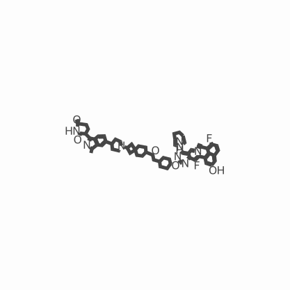 C#Cc1c(F)ccc2cc(O)cc(-c3ncc4c(N5CC6CCC(C5)N6)nc(OC5CCC(CC(=O)C6CCC7(CC6)CC(N6CCC(c8ccc9c(c8)C(C)N=C9C8CCC(=O)NC8=O)CC6)C7)CC5)nc4c3F)c12